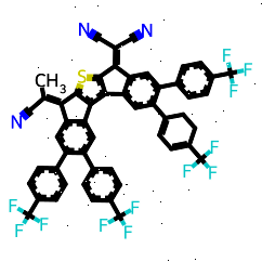 C/C(C#N)=C1/c2cc(-c3ccc(C(F)(F)F)cc3)c(-c3ccc(C(F)(F)F)cc3)cc2-c2c1sc1c2-c2cc(C3=CC=C(C(F)(F)F)CC3)c(-c3ccc(C(F)(F)F)cc3)cc2C1=C(C#N)C#N